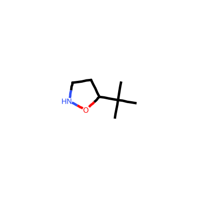 CC(C)(C)C1CCNO1